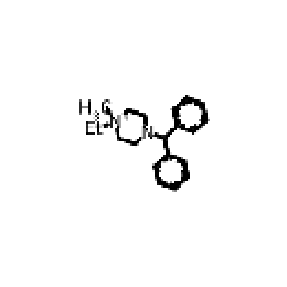 CC[N+]1(C)CCN(C(c2ccccc2)c2ccccc2)CC1